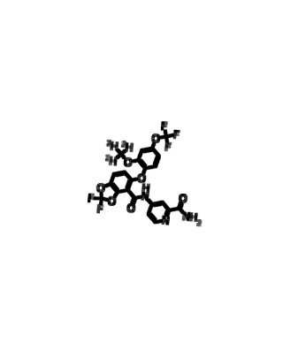 [2H]C([2H])([2H])Oc1cc(OC(F)(F)F)ccc1Oc1ccc2c(c1C(=O)Nc1ccnc(C(N)=O)c1)OC(F)(F)O2